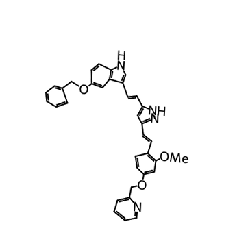 COc1cc(OCc2ccccn2)ccc1/C=C/c1cc(/C=C/c2c[nH]c3ccc(OCc4ccccc4)cc23)[nH]n1